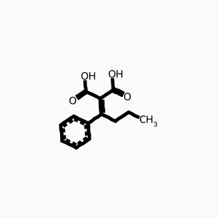 CCCC(=C(C(=O)O)C(=O)O)c1ccccc1